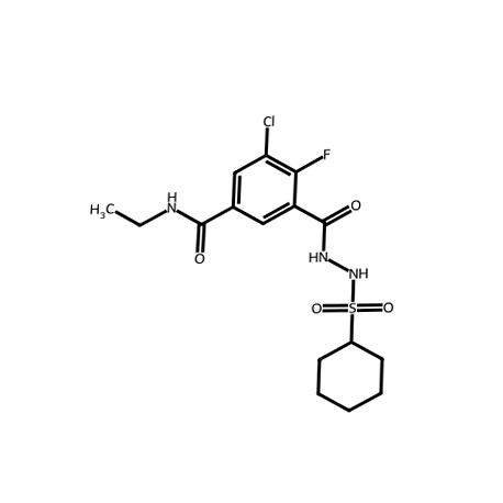 CCNC(=O)c1cc(Cl)c(F)c(C(=O)NNS(=O)(=O)C2CCCCC2)c1